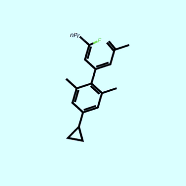 C=C(C)/C=C(\C=C(/F)CCC)c1c(C)cc(C2CC2)cc1C